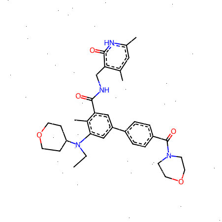 CCN(c1cc(-c2ccc(C(=O)N3CCOCC3)cc2)cc(C(=O)NCc2c(C)cc(C)[nH]c2=O)c1C)C1CCOCC1